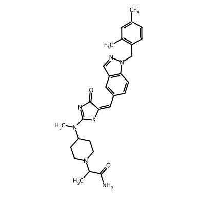 CC(C(N)=O)N1CCC(N(C)C2=NC(=O)C(=Cc3ccc4c(cnn4Cc4ccc(C(F)(F)F)cc4C(F)(F)F)c3)S2)CC1